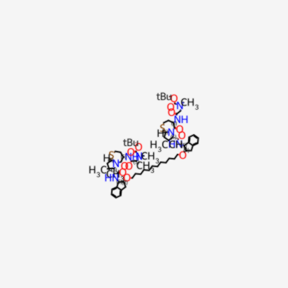 C[C@@H](C(=O)N[C@H]1CCS[C@H]2CC(C)(C)[C@@H](C(=O)N[C@H]3c4ccccc4C[C@H]3OCCCCCCCCCCCCO[C@@H]3Cc4ccccc4[C@@H]3NC(=O)[C@H]3N4C(=O)[C@@H](NC(=O)CN(C)C(=O)OC(C)(C)C)CCS[C@H]4CC3(C)C)N2C1=O)N(C)C(=O)OC(C)(C)C